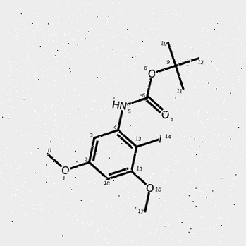 COc1cc(NC(=O)OC(C)(C)C)c(I)c(OC)c1